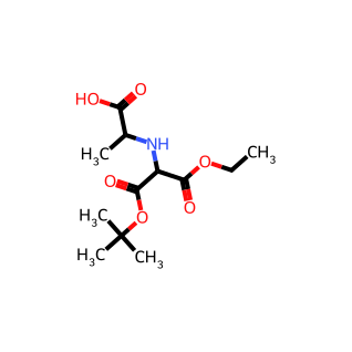 CCOC(=O)C(NC(C)C(=O)O)C(=O)OC(C)(C)C